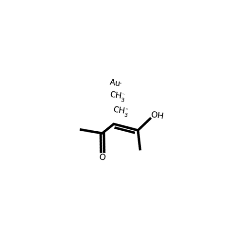 CC(=O)/C=C(\C)O.[Au].[CH3-].[CH3-]